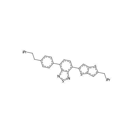 CC(C)CCc1ccc(-c2ccc(-c3cc4sc(CC(C)C)cc4s3)c3nsnc23)cc1